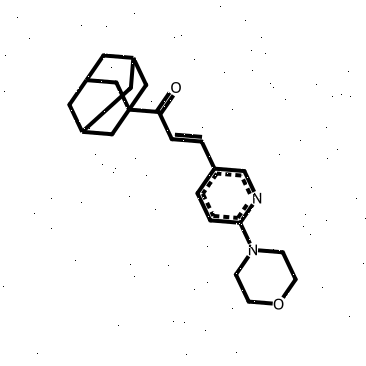 O=C(C=Cc1ccc(N2CCOCC2)nc1)C12CC3CC(CC(C3)C1)C2